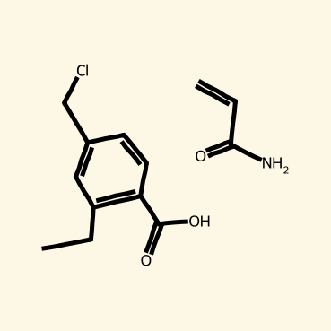 C=CC(N)=O.CCc1cc(CCl)ccc1C(=O)O